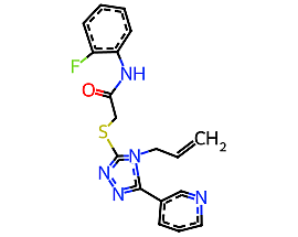 C=CCn1c(SCC(=O)Nc2ccccc2F)nnc1-c1cccnc1